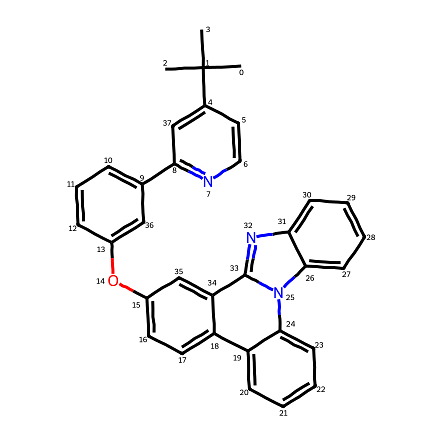 CC(C)(C)c1ccnc(-c2cccc(Oc3ccc4c5ccccc5n5c6ccccc6nc5c4c3)c2)c1